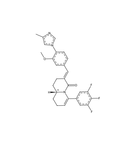 COc1cc(C=C2CC[C@H]3CCC=C(c4cc(F)c(F)c(F)c4)N3C2=O)ccc1-n1cnc(C)c1